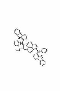 C=CCc1cc2ccc3c(N(c4ccccc4)c4cccc5c4sc4ccccc45)ccc4ccc(c1N(c1ccccc1)c1cccc5c1sc1ccccc15)c2c43